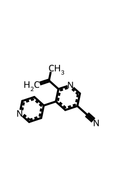 C=C(C)c1ncc(C#N)cc1-c1ccncc1